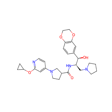 O=C(N[C@H](CN1CCCC1)[C@H](O)c1ccc2c(c1)OCCO2)C1CCN(c2ccnc(OC3CC3)c2)C1